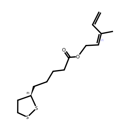 C=C/C(C)=C\COC(=O)CCCC[C@@H]1CCSS1